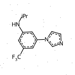 CC(C)Nc1cc(-n2ccnc2)cc(C(F)(F)F)c1